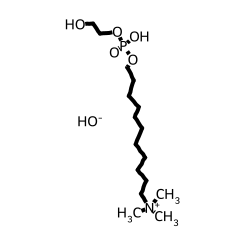 C[N+](C)(C)CCCCCCCCCCCOP(=O)(O)OCCO.[OH-]